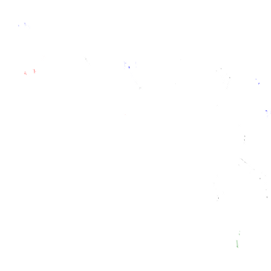 NC(=O)CCNC(=O)c1ccc2c(c1)C(c1ccc(F)cc1)NN2